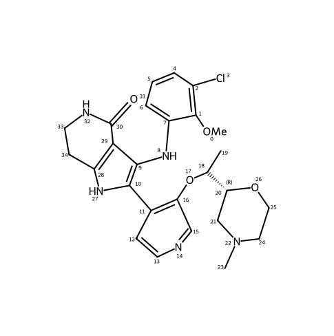 COc1c(Cl)cccc1Nc1c(-c2ccncc2OC(C)[C@H]2CN(C)CCO2)[nH]c2c1C(=O)NCC2